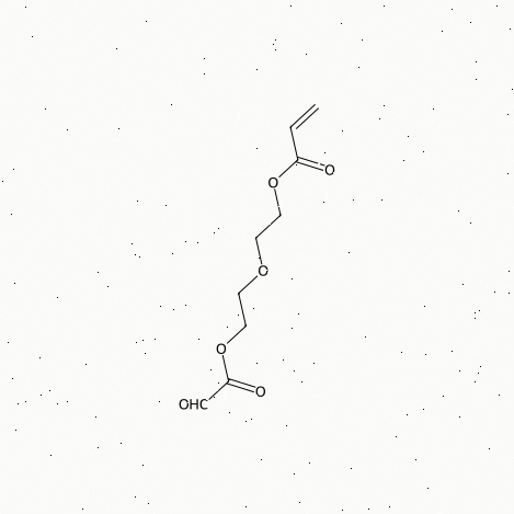 C=CC(=O)OCCOCCOC(=O)C=O